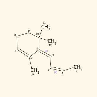 C/C=C\C=C1/C(C)=CCCC1(C)C